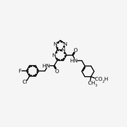 CC1(C(=O)O)CC=C(CNC(=O)c2cc(C(=O)NCc3ccc(F)c(Cl)c3)nc3ncnn23)CC1